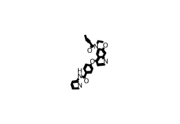 CC#CC(=O)N1CCOc2cc3nccc(Oc4ccc(C(=O)Nc5ccccn5)cc4)c3cc21